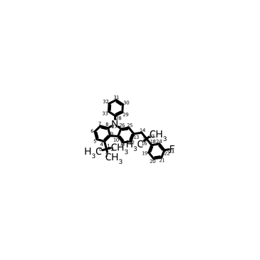 CC(C)(C)c1cccc2c1c1ccc(CC(C)(C)c3cccc(F)c3)cc1n2-c1ccccc1